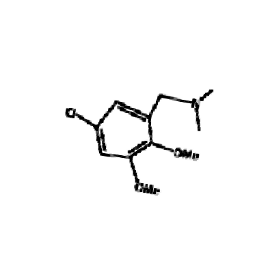 COc1cc(Cl)cc(CN(C)C)c1OC